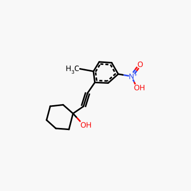 Cc1ccc([N+](=O)O)cc1C#CC1(O)CCCCC1